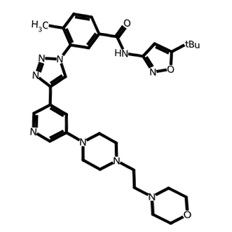 Cc1ccc(C(=O)Nc2cc(C(C)(C)C)on2)cc1-n1cc(-c2cncc(N3CCN(CCN4CCOCC4)CC3)c2)nn1